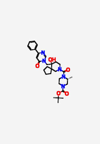 C[C@@H]1CN(C(=O)OC(C)(C)C)CCN1C(=O)N1CCC(O)(Cn2cnc(-c3ccccc3)cc2=O)C2(CCCC2)C1